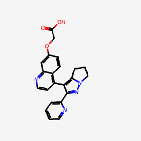 O=C(O)COc1ccc2c(-c3c(-c4ccccn4)nn4c3CCC4)ccnc2c1